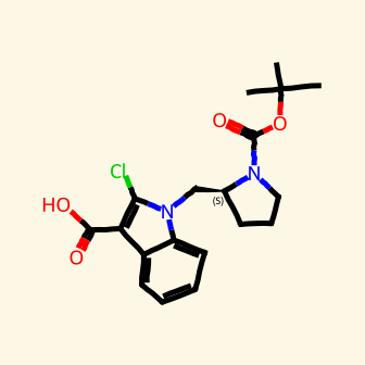 CC(C)(C)OC(=O)N1CCC[C@H]1Cn1c(Cl)c(C(=O)O)c2ccccc21